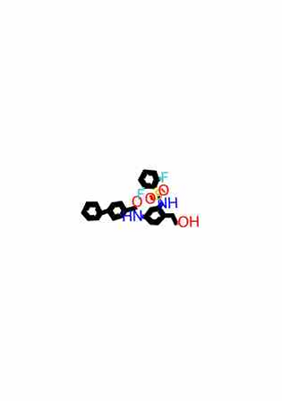 O=C(Nc1ccc(CCO)c(NS(=O)(=O)c2c(F)cccc2F)c1)c1ccc(-c2ccccc2)cc1